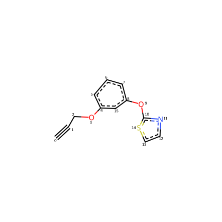 C#CCOc1cccc(Oc2nccs2)c1